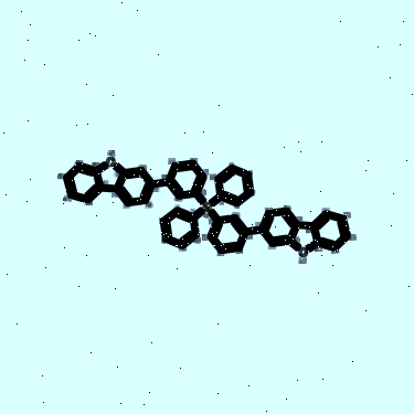 c1ccc([Si](c2ccccc2)(c2cccc(-c3ccc4c(c3)oc3ccccc34)c2)c2cccc(-c3ccc4c(c3)oc3ccccc34)c2)cc1